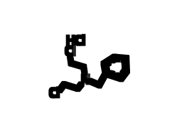 Cl.ClCCN(CCCl)Cc1ccccc1